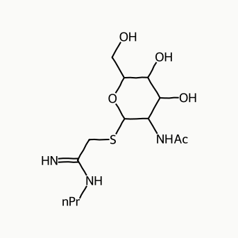 CCCNC(=N)CSC1OC(CO)C(O)C(O)C1NC(C)=O